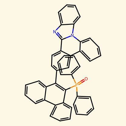 O=P(c1ccccc1)(c1ccccc1)c1c(-c2ccc3c(c2)c2ccccc2n2c4ccccc4nc32)c2ccccc2c2ccccc12